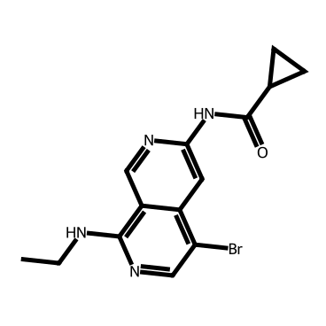 CCNc1ncc(Br)c2cc(NC(=O)C3CC3)ncc12